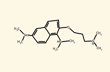 C[SiH](C)CCCOc1ccc2cc([SiH](C)C)ccc2c1[SiH](C)C